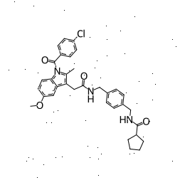 COc1ccc2c(c1)c(CC(=O)NCc1ccc(CNC(=O)C3CCCC3)cc1)c(C)n2C(=O)c1ccc(Cl)cc1